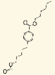 CCCCCCOC(=O)c1ccc(CCCCCO[C]=O)cc1